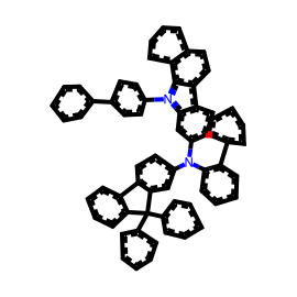 c1ccc(-c2ccc(-n3c4cc(N(c5ccc6c(c5)C(c5ccccc5)(c5ccccc5)c5ccccc5-6)c5ccccc5-c5ccccc5)ccc4c4ccc5ccccc5c43)cc2)cc1